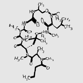 CCCC(=O)N(C)[C@H](C)C(=O)N(C)[C@@H](CC(C)(C)OC)C(=O)NC(=O)N(C)C(=O)NC(=O)NC(C)CON(C)[C@@H](CC(C)C)C(=O)NC